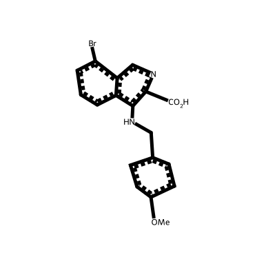 COc1ccc(CNc2c(C(=O)O)ncc3c(Br)cccc23)cc1